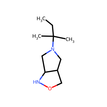 CCC(C)(C)N1CC2CONC2C1